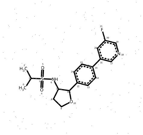 CC(C)S(=O)(=O)NC1CCOC1c1ccc(-c2cncc(F)c2)cc1